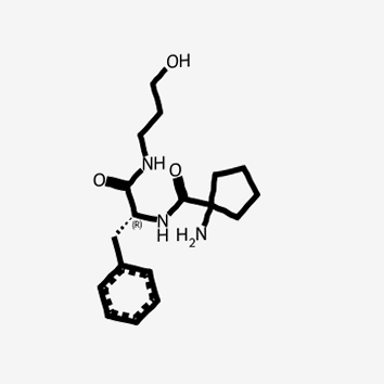 NC1(C(=O)N[C@H](Cc2ccccc2)C(=O)NCCCO)CCCC1